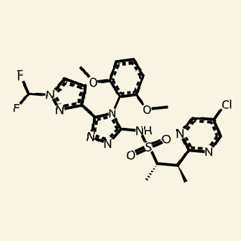 COc1cccc(OC)c1-n1c(NS(=O)(=O)[C@@H](C)[C@H](C)c2ncc(Cl)cn2)nnc1-c1ccn(C(F)F)n1